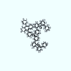 c1ccc(-c2c3ccccc3c(-c3cccc(-n4c5cc(-c6cccc7c6sc6c(-c8ccccc8)cccc67)ccc5c5ccc(-c6cccc7c6sc6c(-c8ccccc8)cccc67)cc54)c3)c3ccccc23)cc1